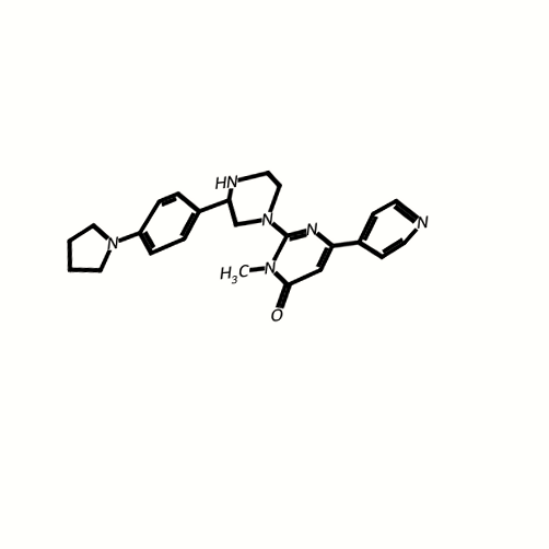 Cn1c(N2CCNC(c3ccc(N4CCCC4)cc3)C2)nc(-c2ccncc2)cc1=O